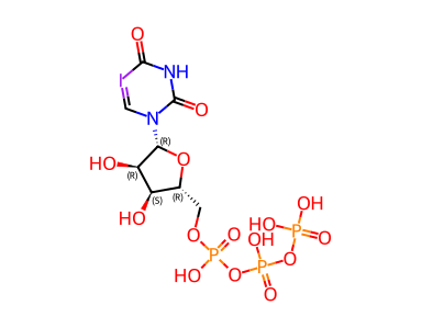 O=C1NC(=O)N([C@@H]2O[C@H](COP(=O)(O)OP(=O)(O)OP(=O)(O)O)[C@@H](O)[C@H]2O)C=I1